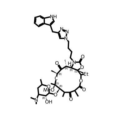 CCC1OC(=O)C(C)C(=O)C(C)[C@@H](OC2OC(C)CC(N(C)C)[C@H]2O)[C@@](C)(OC)C[C@@H](C)C(=O)[C@H](C)[C@H]2N(CCCCn3cc(Cc4c[nH]c5ccccc45)nn3)C(=O)O[C@]12C